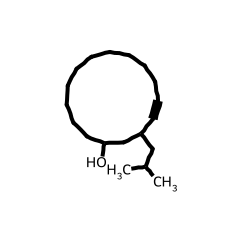 CC(C)CC1C#CCCCCCCCCCCC(O)C1